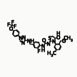 COCc1ccc(C)cc1N1/C(=N/C(=O)Nc2ccc(CNc3ncn(-c4ccc(OC(F)(F)F)cc4)n3)cc2F)SCC1O